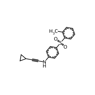 Cc1ccccc1S(=O)(=O)c1ccc(NC#CC2CC2)cc1